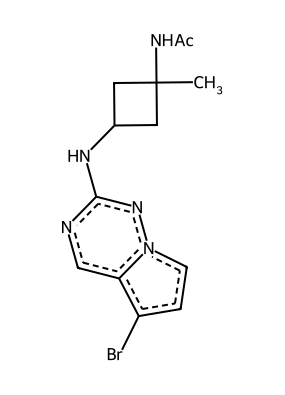 CC(=O)NC1(C)CC(Nc2ncc3c(Br)ccn3n2)C1